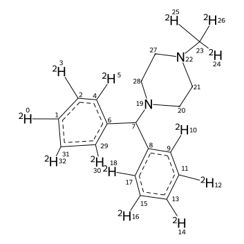 [2H]c1c([2H])c([2H])c(C(c2c([2H])c([2H])c([2H])c([2H])c2[2H])N2CCN(C([2H])([2H])[2H])CC2)c([2H])c1[2H]